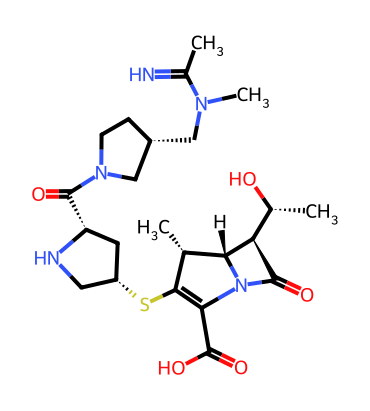 CC(=N)N(C)C[C@H]1CCN(C(=O)[C@@H]2C[C@H](SC3=C(C(=O)O)N4C(=O)[C@H]([C@@H](C)O)[C@H]4[C@H]3C)CN2)C1